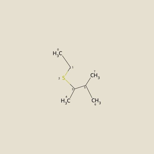 C[CH]SC(C)C(C)C